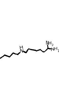 CCCCCNCCCCCC(N)N